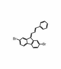 Brc1ccc2c(c1)C(=CC=Cc1ccccc1)c1cc(Br)ccc1-2